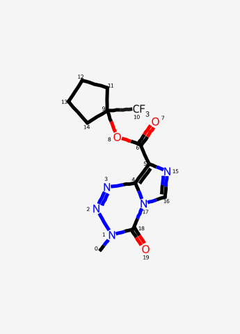 Cn1nnc2c(C(=O)OC3(C(F)(F)F)CCCC3)ncn2c1=O